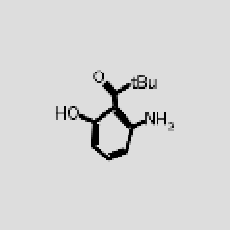 CC(C)(C)C(=O)c1c(N)cccc1O